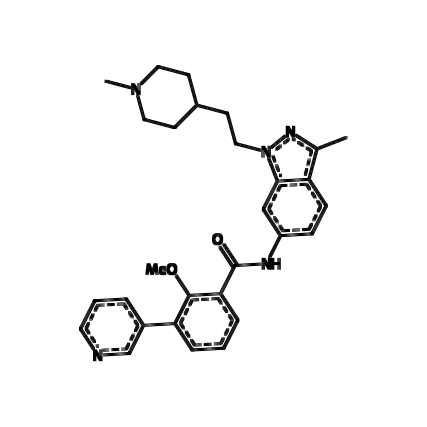 COc1c(C(=O)Nc2ccc3c(C)nn(CCC4CCN(C)CC4)c3c2)cccc1-c1cccnc1